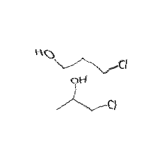 CC(O)CCl.OCCCCl